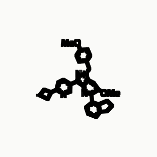 COc1ccc(Cn2nc(-c3ccc(C4C[CH]C4)nc3)c3nc(-c4cccc5c4CCC5)c(OC)cc32)cc1